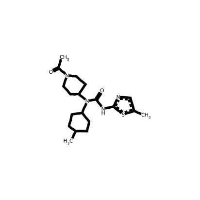 CC(=O)N1CCC(N(C(=O)Nc2ncc(C)s2)C2CCC(C)CC2)CC1